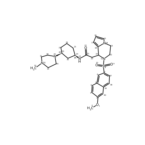 COc1ccc2cc(S(=O)(=O)N3CCn4cccc4C3CC(=O)N[C@@H]3CCC[C@H](N4CCN(C)CC4)C3)ccc2c1